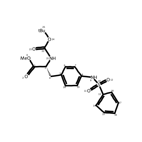 COC(=O)[C@@H](Cc1ccc(NS(=O)(=O)c2ccccc2)cc1)NC(=O)OC(C)(C)C